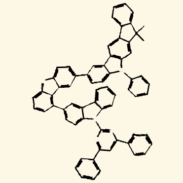 CC1(C)c2ccccc2-c2cc3c4cc(-c5ccc6oc7cccc(-c8ccc9c(c8)c8ccccc8n9-c8nc(-c9ccccc9)cc(-c9ccccc9)n8)c7c6c5)ccc4n(-c4ccccc4)c3cc21